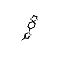 Cc1cnn(C2CCC3(CC2)OCCO3)c1